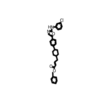 O=C(C=CCC1CCC(c2ccc(-c3cnc(Nc4cccc(Cl)c4)o3)cc2)CC1)OCc1ccccc1